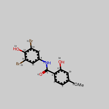 COc1ccc(C(=O)Nc2cc(Br)c(O)c(Br)c2)c(O)c1